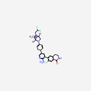 C[C@H]1[C@H]2CN(C3=CCC(c4cnc(N)c(-c5cc6c(cc5F)C(=O)NCC6)c4)C=C3)[C@@H]1CN2CC(F)F